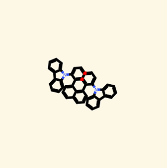 c1ccc(-n2c3ccccc3c3ccccc32)c(-c2cccc3cccc(-c4ccccc4-n4c5ccccc5c5ccccc54)c23)c1